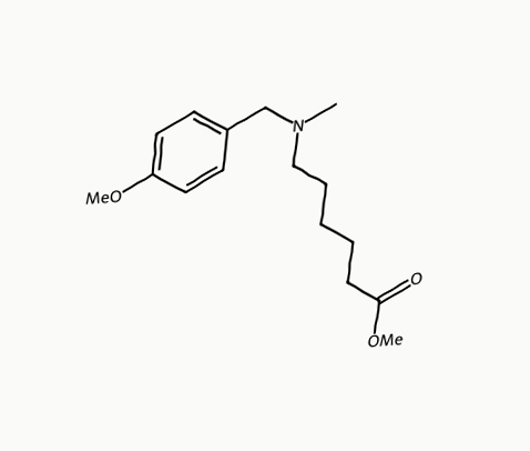 COC(=O)CCCCCN(C)Cc1ccc(OC)cc1